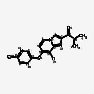 CN(C)C(=O)c1cn2ccc(Sc3cnc(Cl)cn3)c(Cl)c2n1